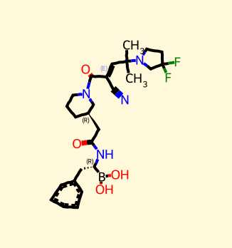 CC(C)(/C=C(\C#N)C(=O)N1CCC[C@H](CC(=O)N[C@@H](Cc2ccccc2)B(O)O)C1)N1CCC(F)(F)C1